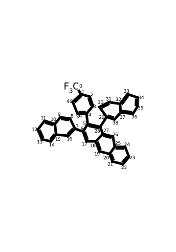 FC(F)(F)c1ccc(-c2c(-c3ccc4ccccc4c3)cc3cc4ccccc4cc3c2-c2ccc3ccccc3c2)cc1